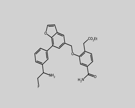 CCOC(=O)Cc1ccc(C(N)=O)cc1OCc1cc(-c2cccc(C(N)CF)c2)c2occc2c1